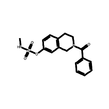 CNS(=O)(=O)Oc1ccc2c(c1)CN(C(=O)c1ccccc1)CC2